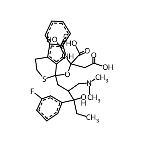 CCC(O)(c1cccc(F)c1)C(CN(C)C)CC1(OC(CC(=O)O)(CC(=O)O)C(=O)O)SCCc2c1[nH]c1ccccc21